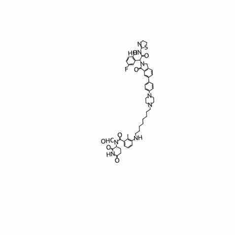 Cc1c(NCCCCCCCCN2CCN(c3ccc(-c4ccc5c(c4)C(=O)N(C(C(=O)NC4=NCCS4)c4cc(F)ccc4O)C5)cc3)CC2)cccc1C(=O)N(C=O)C1CCC(=O)NC1=O